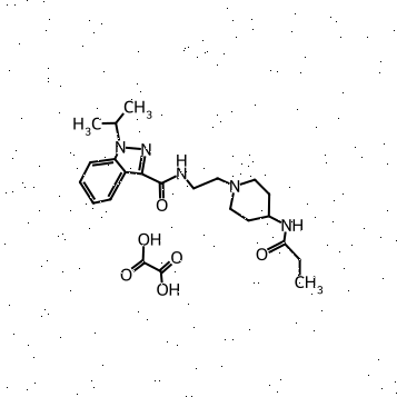 CCC(=O)NC1CCN(CCNC(=O)c2nn(C(C)C)c3ccccc23)CC1.O=C(O)C(=O)O